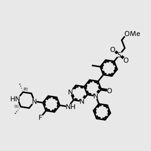 COCCS(=O)(=O)c1ccc(-c2cc3cnc(Nc4ccc(N5C[C@@H](C)N[C@@H](C)C5)c(F)c4)nc3n(-c3ccccc3)c2=O)c(C)c1